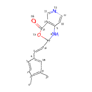 Cc1ccc(/C=C/C2Nc3ccncc3C(=O)O2)cc1C